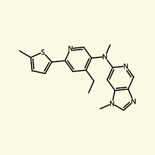 CCc1cc(-c2ccc(C)s2)ncc1N(C)c1cc2c(cn1)ncn2C